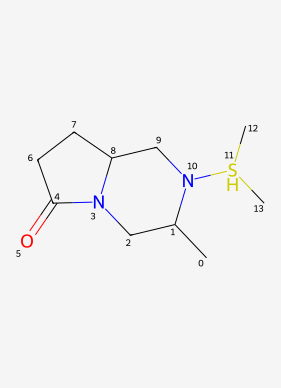 CC1CN2C(=O)CCC2CN1[SH](C)C